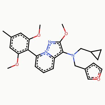 COc1cc(C)cc(OC)c1-c1cccc2c(N(Cc3ccoc3)CC3CC3)c(OC)nn12